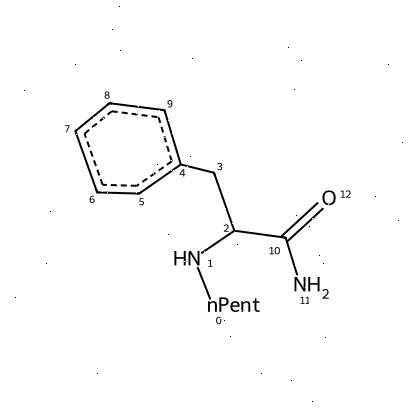 CCCCCNC(Cc1ccccc1)C(N)=O